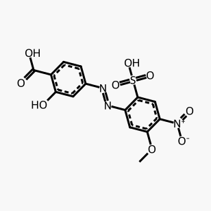 COc1cc(N=Nc2ccc(C(=O)O)c(O)c2)c(S(=O)(=O)O)cc1[N+](=O)[O-]